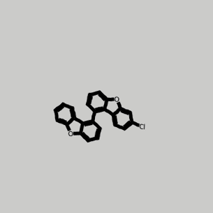 Clc1ccc2c(c1)oc1cccc(-c3cccc4oc5ccccc5c34)c12